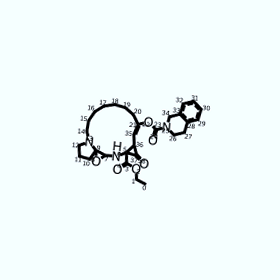 CCOC(=O)C12NC3OC34CCCN4CCCCCCC/C(OC(=O)N3CCc4ccccc4C3)=C/C1C2=O